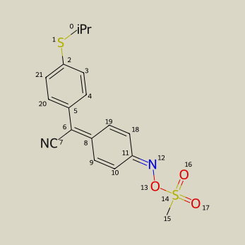 CC(C)Sc1ccc(C(C#N)=C2C=CC(=NOS(C)(=O)=O)C=C2)cc1